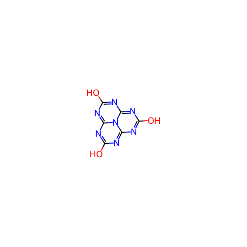 OC1=NC2=NC(O)=NC3=NC(O)=NC(=N1)N23